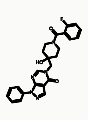 O=C(c1ccccc1F)N1CCC(O)(Cn2cnc3c(cnn3-c3ccccc3)c2=O)CC1